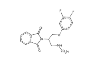 O=C(O)NCC(COc1ccc(F)c(F)c1)N1C(=O)c2ccccc2C1=O